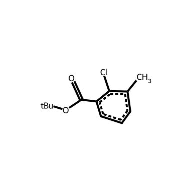 Cc1cccc(C(=O)OC(C)(C)C)c1Cl